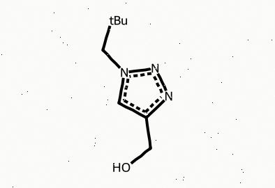 CC(C)(C)Cn1cc(CO)nn1